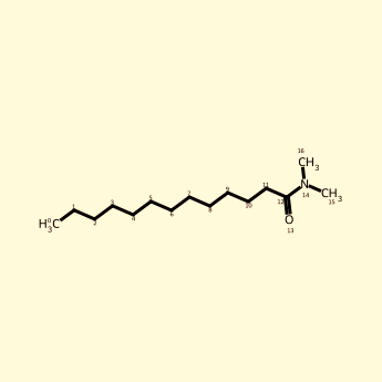 CCCCCCCCCCCCC(=O)N(C)C